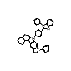 c1ccc(N2CCc3cc4c(cc32)N(c2ccc(C3Nc5ccccc5N3c3ccccc3)cc2)C2CCC3CCCCC3C42)cc1